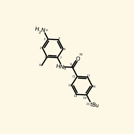 Cc1cc(N)ccc1NC(=O)c1ccc(C(C)(C)C)cc1